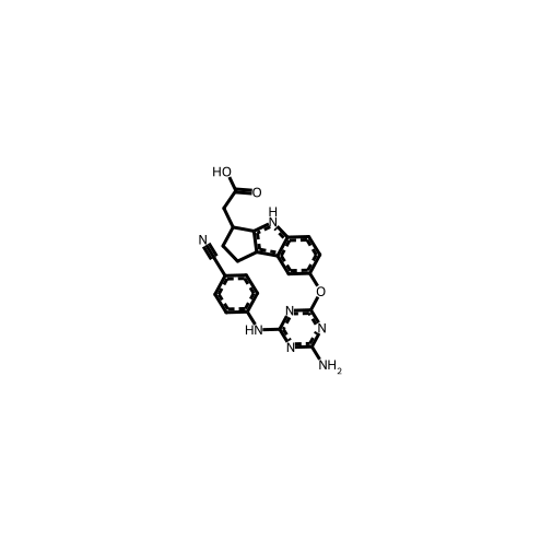 N#Cc1ccc(Nc2nc(N)nc(Oc3ccc4[nH]c5c(c4c3)CCC5CC(=O)O)n2)cc1